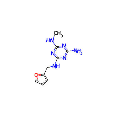 CNc1nc(N)nc(NCc2ccco2)n1